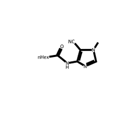 CCCCCCC(=O)Nc1ncn(C)c1C#N